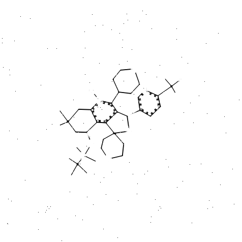 CC1(C)Cc2c(c3c(c(C4CCOCC4)[n+]2[O-])[C@@H](c2ccc(C(F)(F)F)nc2)OC32CCOCC2)[C@@H](O[Si](C)(C)C(C)(C)C)C1